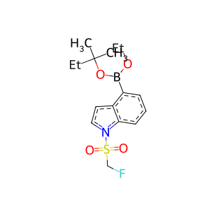 CCOB(OC(C)(C)CC)c1cccc2c1ccn2S(=O)(=O)CF